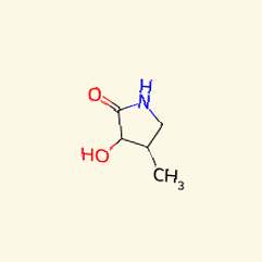 CC1CNC(=O)C1O